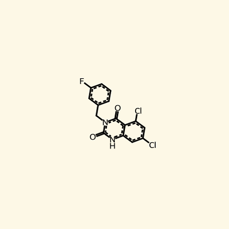 O=c1[nH]c2cc(Cl)cc(Cl)c2c(=O)n1Cc1cccc(F)c1